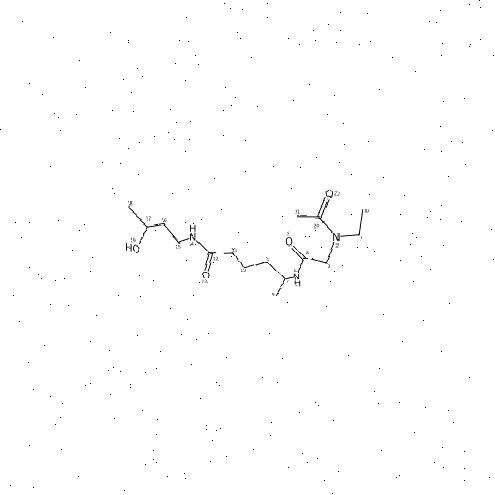 CCN(CC(=O)NC(C)CCCC(=O)NCCC(C)O)C(C)=O